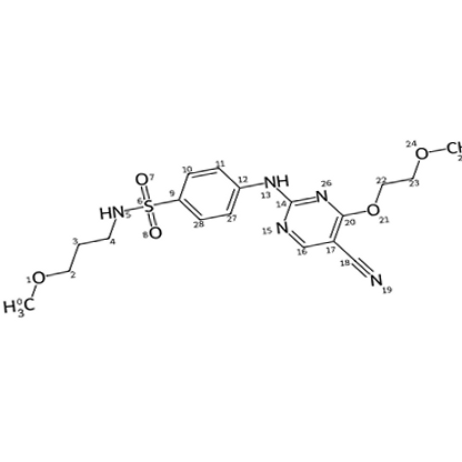 COCCCNS(=O)(=O)c1ccc(Nc2ncc(C#N)c(OCCOC)n2)cc1